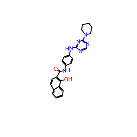 O=C(Nc1ccc(Nc2ncnc(N3CCCCC3)n2)cc1)c1ccc2ccccc2c1O